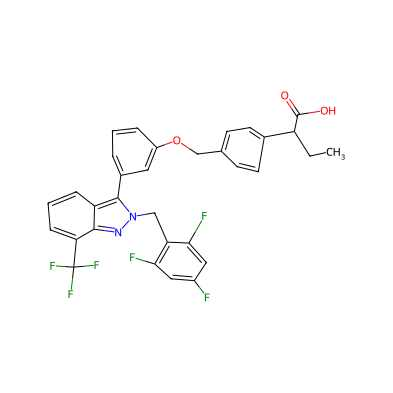 CCC(C(=O)O)c1ccc(COc2cccc(-c3c4cccc(C(F)(F)F)c4nn3Cc3c(F)cc(F)cc3F)c2)cc1